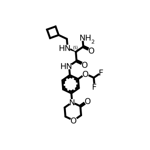 NC(=O)[C@H](NCC1CCC1)C(=O)Nc1ccc(N2CCOCC2=O)cc1OC(F)F